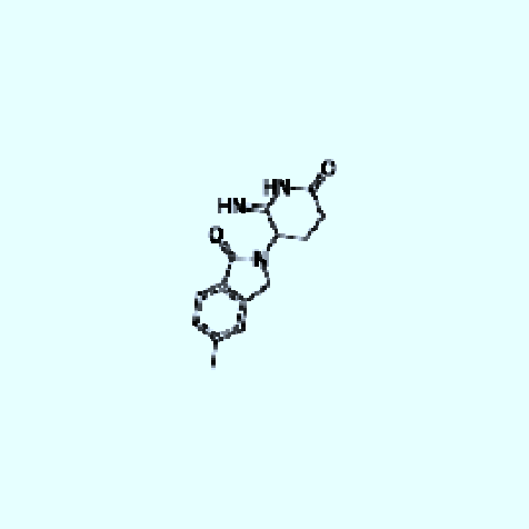 Cc1ccc2c(c1)CN(C1CCC(=O)NC1=N)C2=O